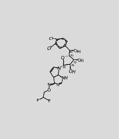 O[C@@H]1[C@H](O)[C@@H]([C@H](O)c2ccc(Cl)c(Cl)c2)O[C@H]1N1C=CC2C(=NOCC(F)F)N=CNC21